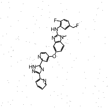 Cn1c(Nc2cc(CF)ccc2F)nc2cc(Oc3ccnc(-c4nc(-c5ccccn5)n[nH]4)c3)ccc21